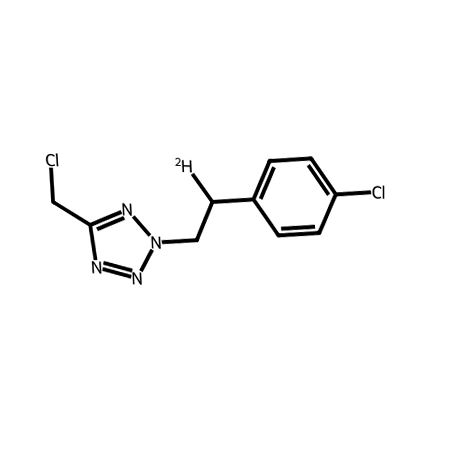 [2H]C(Cn1nnc(CCl)n1)c1ccc(Cl)cc1